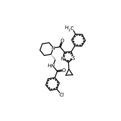 Cc1cccc(-c2sc(C3CC3)nc2C(=O)N2CCCC[C@H]2CNC(=O)c2cccc(Cl)c2)c1